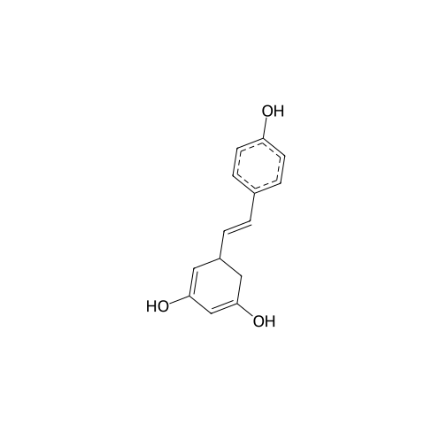 OC1=CC(C=Cc2ccc(O)cc2)CC(O)=C1